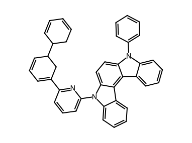 C1=CCC(C2C=CC=C(c3cccc(-n4c5ccccc5c5c6c7ccccc7n(-c7ccccc7)c6ccc54)n3)C2)C=C1